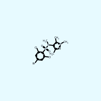 Cc1nn(C)c(C)c1N(C)S(=O)(=O)c1c(Cl)cc(Br)cc1Cl